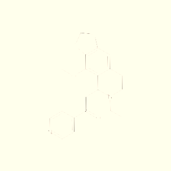 CCN1CCc2cc3c(c(OC)c2C1CC(=O)c1ccncc1)OCO3